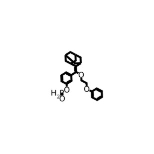 O=[PH2]Oc1cccc(C(OCCOc2ccccc2)=C2C3CC4CC(C3)CC2C4)c1